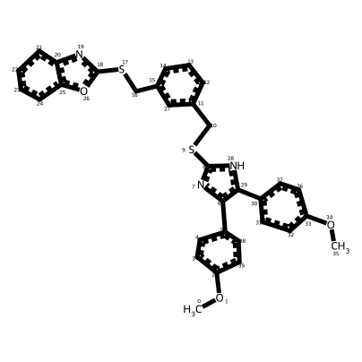 COc1ccc(-c2nc(SCc3cccc(CSc4nc5ccccc5o4)c3)[nH]c2-c2ccc(OC)cc2)cc1